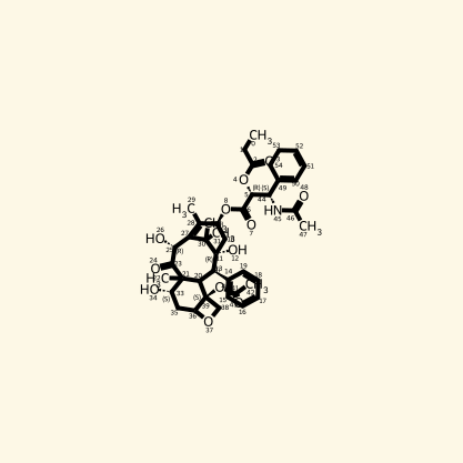 CCC(=O)O[C@@H](C(=O)O[C@H]1C[C@@]2(O)[C@@H](c3ccccc3)C3C(C)(C(=O)[C@H](O)C(=C1C)C2(C)C)[C@@H](O)CC1OC[C@]13OC(C)=O)[C@@H](NC(C)=O)C1=CC=CCC1